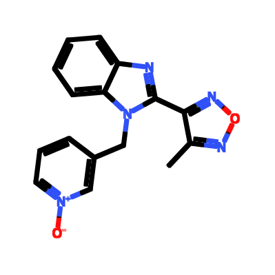 Cc1nonc1-c1nc2ccccc2n1Cc1ccc[n+]([O-])c1